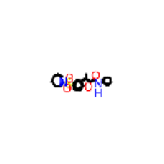 CC1c2cc(S(=O)(=O)N3CCCCCC3)ccc2OC1C(=O)NC1CCCC1